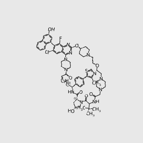 C=CC(=O)N1CCN(c2nc(OC3CCN(CCOCCN4CCN(CC(=O)NC(C(=O)N5C[C@H](O)C[C@H]5C(=O)NC(C)c5ccc(-c6scnc6C)cc5)C(C)(C)C)CC4)CC3)nc3c(F)c(-c4cc(O)cc5ccccc45)c(Cl)cc23)CC1